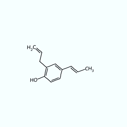 C=CCc1cc(/C=C/C)ccc1O